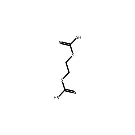 S=C(S)SCCSC(=S)S